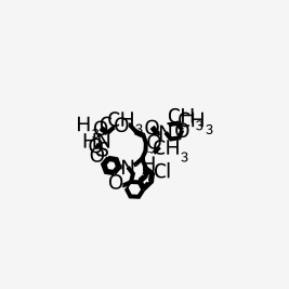 CC[C@H]1[C@@H](OC(=O)N2CCOC(C)(C)C2)/C=C/COC(C)(C)C(=O)NS(=O)(=O)c2ccc3c(c2)N2C[C@@H]1c1cc4c(cc1Cl)CCC[C@@]4(CO3)C2